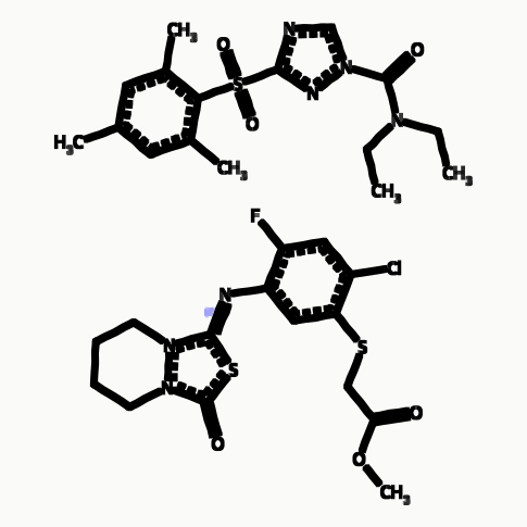 CCN(CC)C(=O)n1cnc(S(=O)(=O)c2c(C)cc(C)cc2C)n1.COC(=O)CSc1cc(/N=c2\sc(=O)n3n2CCCC3)c(F)cc1Cl